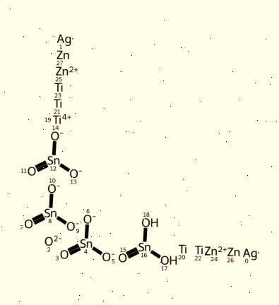 [Ag].[Ag].[O-2].[O]=[Sn]([O-])[O-].[O]=[Sn]([O-])[O-].[O]=[Sn]([O-])[O-].[O]=[Sn]([OH])[OH].[Ti+4].[Ti].[Ti].[Ti].[Ti].[Zn+2].[Zn+2].[Zn].[Zn]